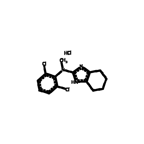 CN(c1nc2c([nH]1)CCCC2)c1c(Cl)cccc1Cl.Cl